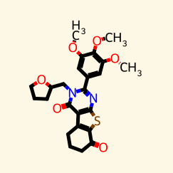 COc1cc(-c2nc3sc4c(c3c(=O)n2CC2CCCO2)CCCC4=O)cc(OC)c1OC